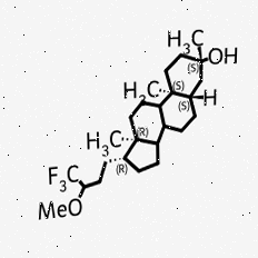 COC(CC[C@H]1CCC2C3CC[C@H]4C[C@@](C)(O)CC[C@]4(C)C3CC[C@@]21C)C(F)(F)F